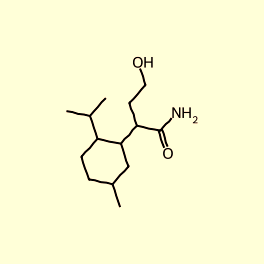 CC1CCC(C(C)C)C(C(CCO)C(N)=O)C1